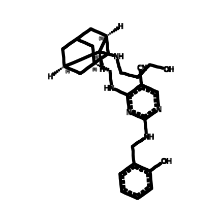 N#Cc1cnc(NCc2ccccc2O)nc1NC[C@@]12CC3C[C@H](C1)[C@@H](NCCCO)[C@@H](C3)C2